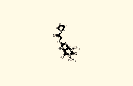 Cn1c(=O)c2[nH]c(SCC(=O)N3CCCC3)nc2n(C)c1=O